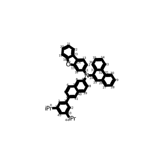 CC(C)c1cc(-c2ccc3cc(N(c4ccc5c(c4)oc4ccccc45)c4cc5ccccc5c5ccccc45)ccc3c2)cc(C(C)C)c1